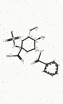 COC(=O)[C@]1(OS(C)(=O)=O)C[C@H](CC(C)C)[C@@H](O)[C@H](OC(=O)c2ccccc2)C1